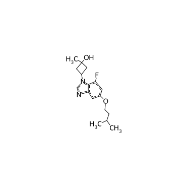 CC(C)CCOc1cc(F)c2c(c1)ncn2C1CC(C)(O)C1